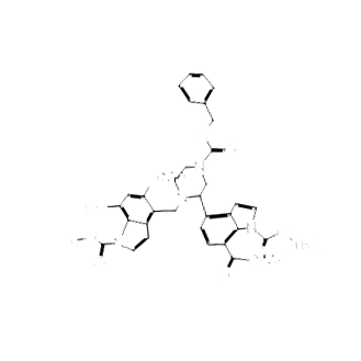 COC(=O)c1ccc(C2CN(C(=O)OCc3ccccc3)CCN2Cc2c(OC)cc(C)c3c2ccn3C(=O)OC(C)(C)C)c2ccn(C(=O)OC(C)(C)C)c12